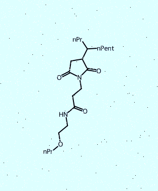 CCCCCC(CCC)C1CC(=O)N(CCC(=O)NCCOCCC)C1=O